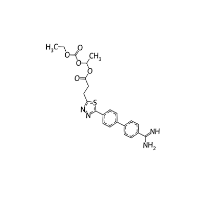 CCOC(=O)OC(C)OC(=O)CCc1nnc(-c2ccc(-c3ccc(C(=N)N)cc3)cc2)s1